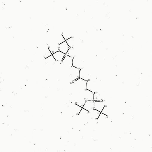 CC(C)(C)OP(=O)(OCOC(=O)OCOP(=O)(OC(C)(C)C)OC(C)(C)C)OC(C)(C)C